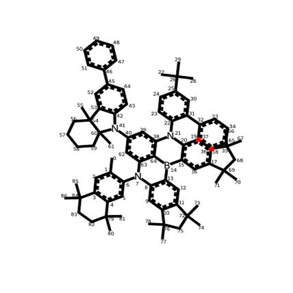 Cc1cc2c(cc1N1c3cc4c(cc3B3c5cc6c(cc5N(c5ccc(C(C)(C)C)cc5-c5ccccc5)c5cc(N7c8ccc(-c9ccccc9)cc8C8(C)CCCCC78C)cc1c53)C(C)(C)CC6(C)C)C(C)(C)CC4(C)C)C(C)(C)CCC2(C)C